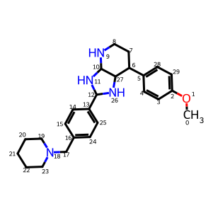 COc1ccc(C2CCNC3NC(c4ccc(CN5CCCCC5)cc4)NC32)cc1